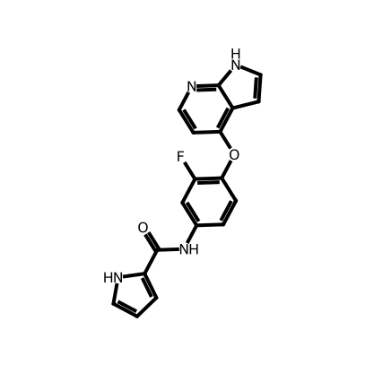 O=C(Nc1ccc(Oc2ccnc3[nH]ccc23)c(F)c1)c1ccc[nH]1